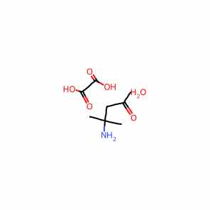 CC(=O)CC(C)(C)N.O.O=C(O)C(=O)O